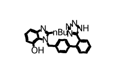 CCCCc1nc2cccc(O)c2n1Cc1ccc(-c2ccccc2-c2nnn[nH]2)cc1